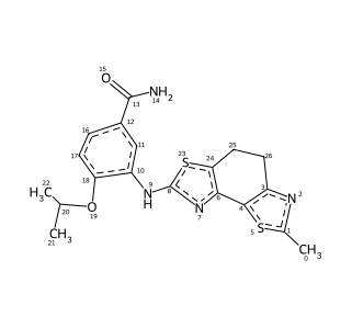 Cc1nc2c(s1)-c1nc(Nc3cc(C(N)=O)ccc3OC(C)C)sc1CC2